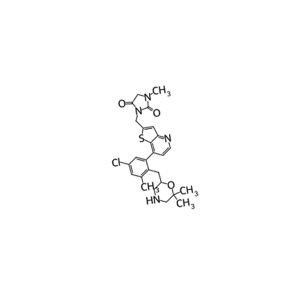 Cc1cc(Cl)cc(-c2ccnc3cc(CN4C(=O)CN(C)C4=O)sc23)c1CC1CNCC(C)(C)O1